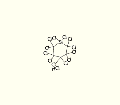 Cl.ClC1(Cl)C(Cl)(Cl)C(Cl)(Cl)[Si](Cl)(Cl)C(Cl)(Cl)C1(Cl)Cl